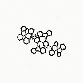 N#Cc1cc(-c2cnc(N3c4ccccc4C4(c5ccccc5-c5ccccc54)c4ccccc43)cc2-n2c3ccccc3c3ccccc32)c(-n2c3ccccc3c3ccccc32)cc1N1c2ccccc2C2(C3=C(CCC=C3)c3ccccc32)c2ccccc21